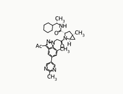 CC(=O)c1nn(CC(=O)N2[C@H](C(=O)N[C@@H](C)C3CCCCC3)C[C@@]3(C)C[C@@H]23)c2c(C)cc(-c3cnc(C)nc3)cc12